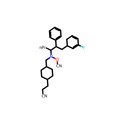 CCCC(C(CC1C=C(F)C=CC1)c1ccccc1)N(CC1CCC(CCC#N)CC1)OC#N